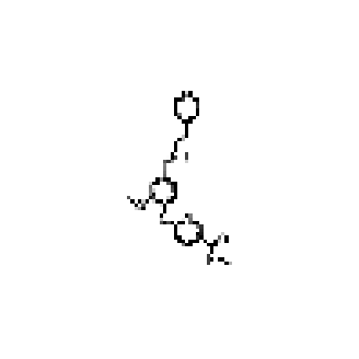 COc1cc(CNCCc2ccncc2)ccc1Oc1ccc(C(N)=O)cn1